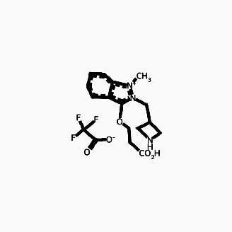 C[n+]1c2ccccc2c(OCCC(=O)O)n1CC1CNC1.O=C([O-])C(F)(F)F